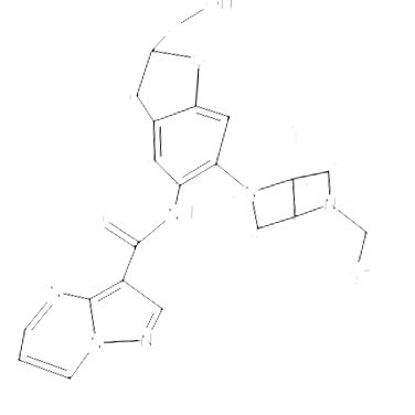 C[C@@]1(CO)Cc2cc(NC(=O)c3cnn4cccnc34)c(N3CC4[C@@H]3CN4CC(F)(F)F)cc2O1